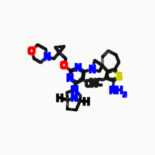 N#Cc1c(N2C[C@H]3CC[C@@H](C2)N3)nc(OCC2(CN3CCOCC3)CC2)nc1N1CC2(CCCCc3sc(N)c(C#N)c32)C1